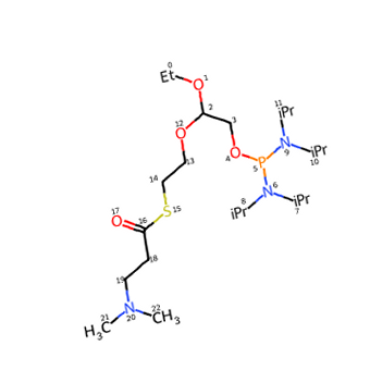 CCOC(COP(N(C(C)C)C(C)C)N(C(C)C)C(C)C)OCCSC(=O)CCN(C)C